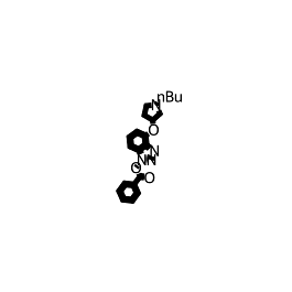 CCCCN1CCC(Oc2cccc3c2nnn3OC(=O)c2ccccc2)C1